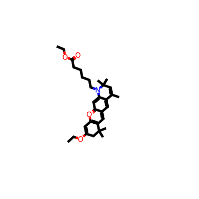 CCOC(=O)CCCCCN1c2cc3[o+]c4c(cc3cc2C(C)=CC1(C)C)C(C)(C)CC(OCC)=C4